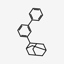 [c]1cccc(-c2cccc(C3C4CC5CC(C4)CC3C5)c2)c1